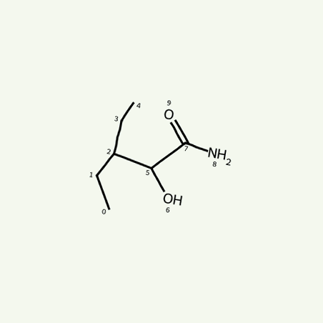 CCC(CC)C(O)C(N)=O